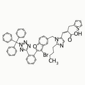 CCCCc1ncc(C=C(Cc2cccs2)C(=O)O)n1Cc1ccc2oc(-c3ccccc3-c3nnn(C(c4ccccc4)(c4ccccc4)c4ccccc4)n3)c(Br)c2c1